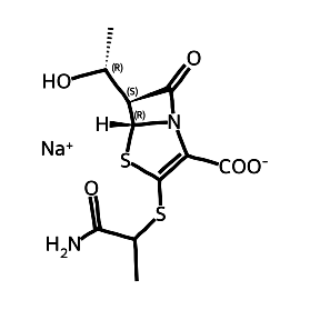 CC(SC1=C(C(=O)[O-])N2C(=O)[C@H]([C@@H](C)O)[C@H]2S1)C(N)=O.[Na+]